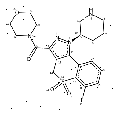 O=C(c1nn([C@@H]2CCCNC2)c2c1CS(=O)(=O)c1c(F)cccc1-2)N1CCOCC1